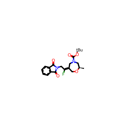 C[C@@H]1CN(C(=O)OC(C)(C)C)CC(=C(F)CN2C(=O)c3ccccc3C2=O)CO1